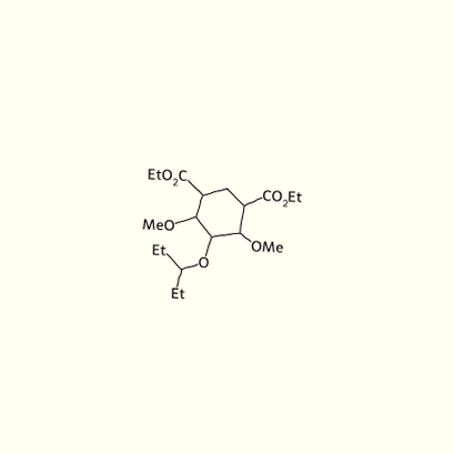 CCOC(=O)C1CC(C(=O)OCC)C(OC)C(OC(CC)CC)C1OC